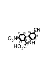 N#Cc1ccc(NC(C(=O)O)c2cccc([N+](=O)[O-])c2)cc1